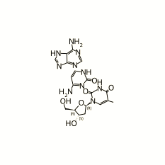 Cc1cn([C@H]2C[C@H](O)[C@@H](CO)O2)c(=O)[nH]c1=O.Nc1cc[nH]c(=O)n1.Nc1ncnc2nc[nH]c12